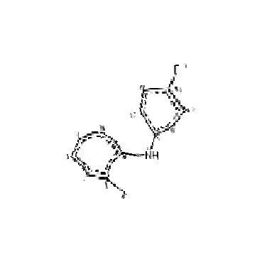 Cc1ccccc1Nc1ccc(F)cc1